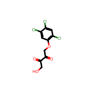 O=C(CO)C(=O)COc1cc(Cl)c(Cl)cc1Cl